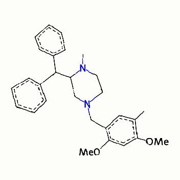 COc1cc(OC)c(CN2CCN(C)C(C(c3ccccc3)c3ccccc3)C2)cc1C